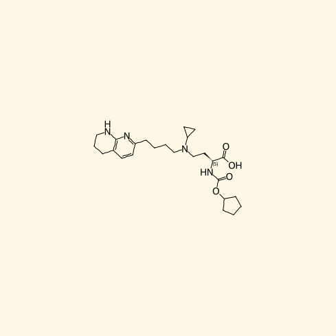 O=C(N[C@@H](CCN(CCCCc1ccc2c(n1)NCCC2)C1CC1)C(=O)O)OC1CCCC1